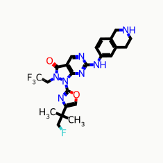 CC(C)(CF)c1coc(-n2c3nc(Nc4ccc5c(c4)CCNC5)ncc3c(=O)n2CC(F)(F)F)n1